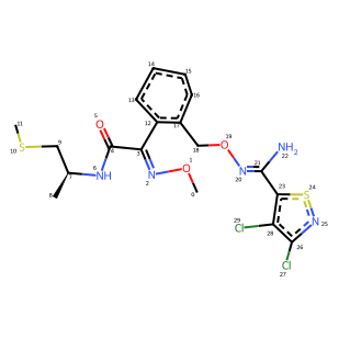 CO/N=C(/C(=O)N[C@@H](C)CSC)c1ccccc1CO/N=C(\N)c1snc(Cl)c1Cl